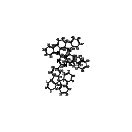 C1=CC2=C(CC1)C(c1ccccc1)(c1ccccc1)c1cc(-c3nc(-c4ccccc4)nc(-n4c5ccccc5c5ccc6c7ccccc7n(-c7cccc(-c8ccccc8)c7)c6c54)n3)ccc12